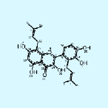 CC(C)=CCc1c(-c2oc3c(CC=C(C)C)c(O)cc(O)c3c(=O)c2O)ccc(O)c1O